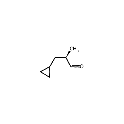 C[C@@H](C=O)CC1CC1